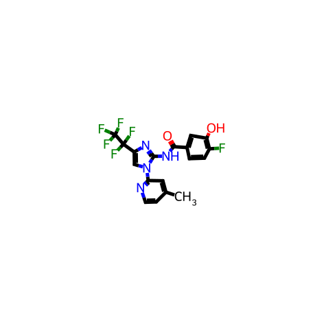 Cc1ccnc(-n2cc(C(F)(F)C(F)(F)F)nc2NC(=O)c2ccc(F)c(O)c2)c1